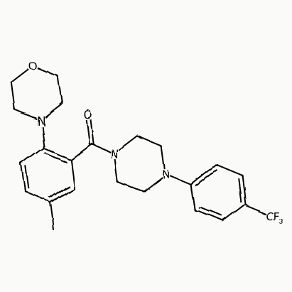 Cc1ccc(N2CCOCC2)c(C(=O)N2CCN(c3ccc(C(F)(F)F)cc3)CC2)c1